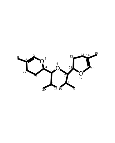 CC1=COC(C(OC(C(C)C)C2CCC(C)=CO2)C(C)C)CC1